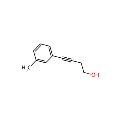 Cc1cccc(C#CCCO)c1